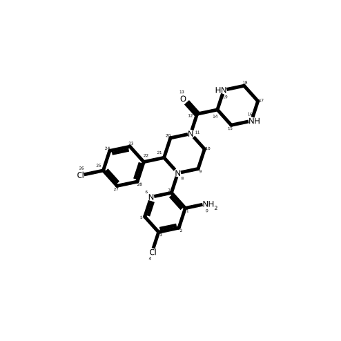 Nc1cc(Cl)cnc1N1CCN(C(=O)C2CNCCN2)CC1c1ccc(Cl)cc1